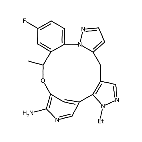 CCn1ncc2c1-c1cnc(N)c(c1)OC(C)c1cc(F)ccc1-n1nccc1C2